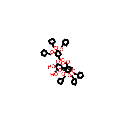 CO[C@H]1O[C@H](CO)[C@@H](O)[C@H](OC(=O)c2cc(OCc3ccccc3)c(OCc3ccccc3)c(OCc3ccccc3)c2)[C@H]1OC(=O)c1cc(OCc2ccccc2)c(OCc2ccccc2)c(OCc2ccccc2)c1